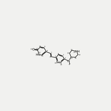 CN(c1ccc(C=Cc2ccc(=O)[nH]c2)nn1)C1CCNCC1